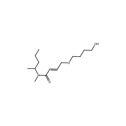 CCCC(C)N(C)C(=O)/C=C/COCCCCO